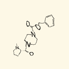 CN1CCC[C@H]1C(=O)N1CCN(C(=O)OCc2ccccc2)CC1